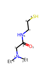 CCN(CC)CC(=O)NCCS